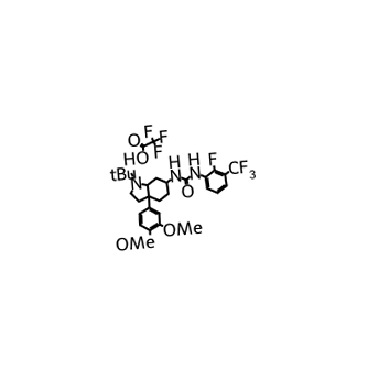 COc1ccc(C23CCC(NC(=O)Nc4cccc(C(F)(F)F)c4F)CC2N(C(C)(C)C)CC3)cc1OC.O=C(O)C(F)(F)F